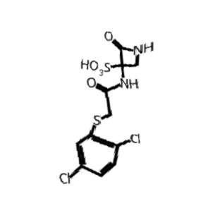 O=C(CSc1cc(Cl)ccc1Cl)NC1(S(=O)(=O)O)CNC1=O